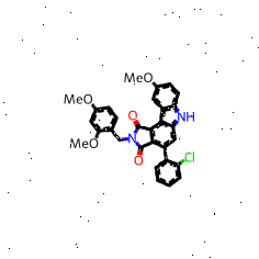 COc1ccc(CN2C(=O)c3c(-c4ccccc4Cl)cc4[nH]c5ccc(OC)cc5c4c3C2=O)c(OC)c1